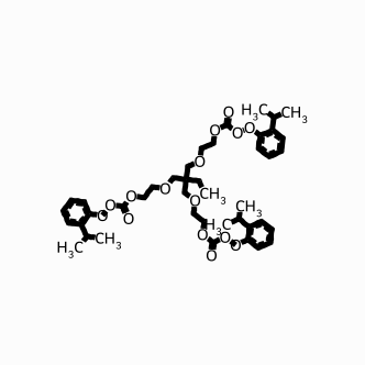 CCC(COCCOC(=O)OOc1ccccc1C(C)C)(COCCOC(=O)OOc1ccccc1C(C)C)COCCOC(=O)OOc1ccccc1C(C)C